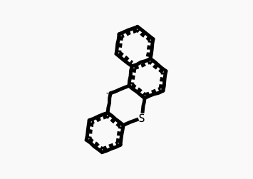 [CH]1c2ccccc2Sc2ccc3ccccc3c21